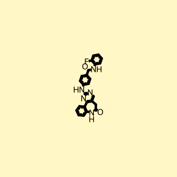 O=C1Cc2cnc(Nc3ccc(C(=O)Nc4ccccc4F)cc3)nc2-c2ccccc2N1